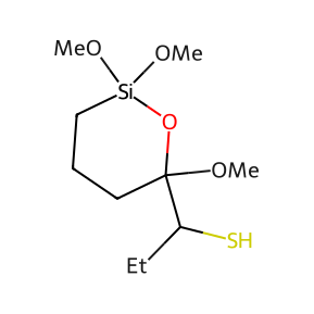 CCC(S)C1(OC)CCC[Si](OC)(OC)O1